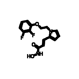 O=C(C=Cc1cccn1CCOc1cccc(F)c1F)NO